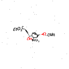 CCOC(=O)C#CC(O)c1ccc(OCOC)cc1[N+](=O)[O-]